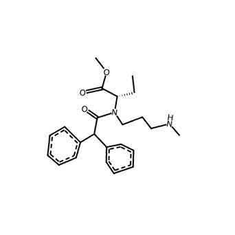 CC[C@@H](C(=O)OC)N(CCCNC)C(=O)C(c1ccccc1)c1ccccc1